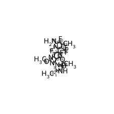 CC[C@@H]1CN2c3nc(OC)nc4c(F)c(-c5nc(N)c(F)c(C)c5C(F)(F)F)nc(c34)O[C@@H](C)[C@@H]2CN1